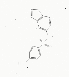 Cc1ccc(S(=O)(=O)Oc2ccc3c(c2)C=CC3)cc1